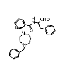 O=CC(Cc1ccccc1)NC(=O)c1cccnc1N1CCCN(Cc2ccccc2)CC1